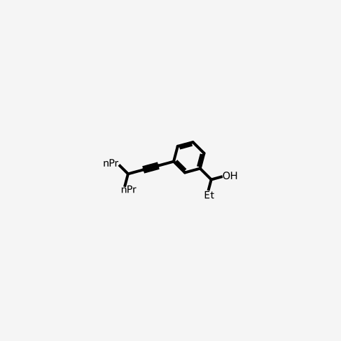 CCCC(C#Cc1cccc(C(O)CC)c1)CCC